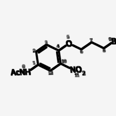 CC(=O)Nc1ccc(OCCCBr)c([N+](=O)[O-])c1